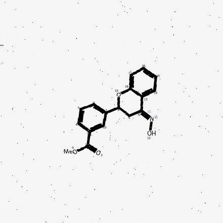 COC(=O)c1cccc(C2C/C(=N\O)c3ccccc3O2)c1